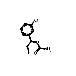 NC(=O)OC(CF)c1cccc(Cl)c1